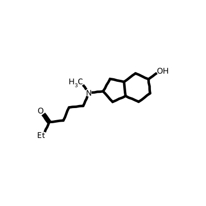 CCC(=O)CCCN(C)C1CC2CCC(O)CC2C1